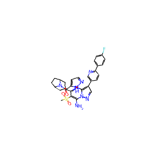 CS(=O)(=O)c1c(C2CC3CCC(C2)N3C(=O)c2ccn[nH]2)nc2c(-c3ccc(-c4ccc(F)cc4)nc3)cnn2c1N